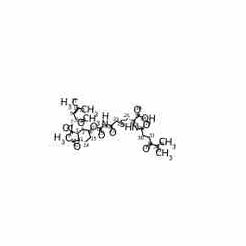 CO[C@H]1[C@H](C2(C)O[C@@H]2CC=C(C)C)[C@]2(CC[C@H]1OC(=O)NC(=O)CSC[C@@H](NC(=O)CCC(=O)C(C)C)C(=O)O)CO2